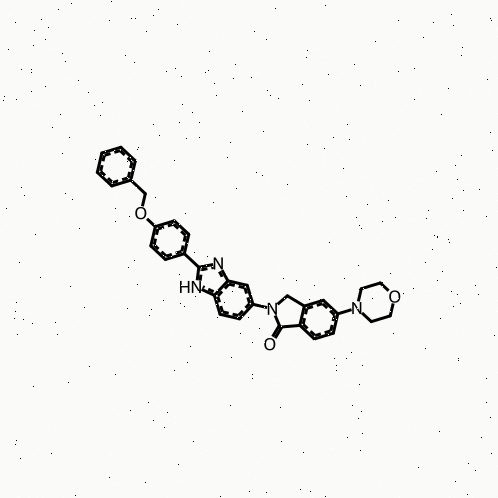 O=C1c2ccc(N3CCOCC3)cc2CN1c1ccc2[nH]c(-c3ccc(OCc4ccccc4)cc3)nc2c1